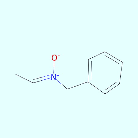 CC=[N+]([O-])Cc1ccccc1